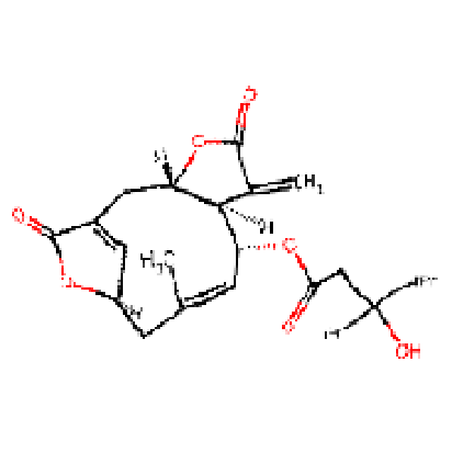 C=C1C(=O)O[C@H]2CC3=C[C@@H](C/C(C)=C/[C@@H](OC(=O)CC(O)(C(C)C)C(C)C)[C@H]12)OC3=O